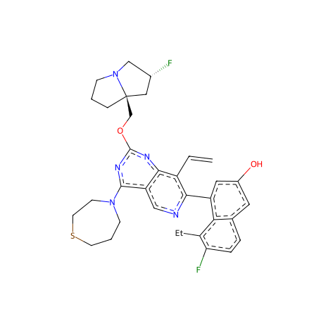 C=Cc1c(-c2cc(O)cc3ccc(F)c(CC)c23)ncc2c(N3CCCSCC3)nc(OC[C@@]34CCCN3C[C@H](F)C4)nc12